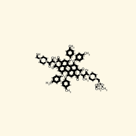 CO[SiH](CN1CCN(C(=O)C(C)N2C(=O)c3cc(Oc4ccc(C)cc4)c4c5c(Oc6ccc(C)cc6)cc6c7c(cc(Oc8ccc(C)cc8)c(c8c(Oc9ccc(C)cc9)cc(c3c48)C2=O)c75)C(=O)N(C(C)C(=O)N2CCN(CS)CC2)C6=O)CC1)OC